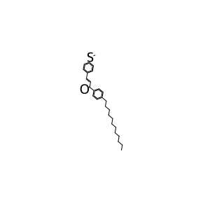 CCCCCCCCCCCCc1ccc(C(=O)C=Cc2ccc(SC)cc2)cc1